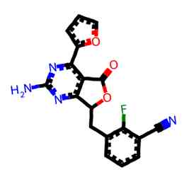 N#Cc1cccc(CC2OC(=O)c3c(-c4ccco4)nc(N)nc32)c1F